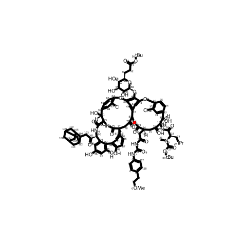 COCCc1ccc(NC(=O)NC(=O)C[C@@H]2CC(=O)[C@H](NC(=O)[C@@H](CC(C)C)N(C)C(=O)OC(C)(C)C)[C@H](O)c3ccc(c(Cl)c3)Oc3cc4cc(c3O[C@@H]3O[C@H](CCC(=O)OC(C)(C)C)[C@@H](O)[C@H](O)[C@H]3O)Oc3ccc(cc3Cl)[C@@H](O)[C@@H]3NC(=O)[C@H](CC(=O)[C@@H]4NC2=O)c2ccc(O)c(c2)-c2c(O)cc(O)cc2[C@@H](C(=O)CC2C4CC5CC(C4)CC2C5)NC3=O)cc1